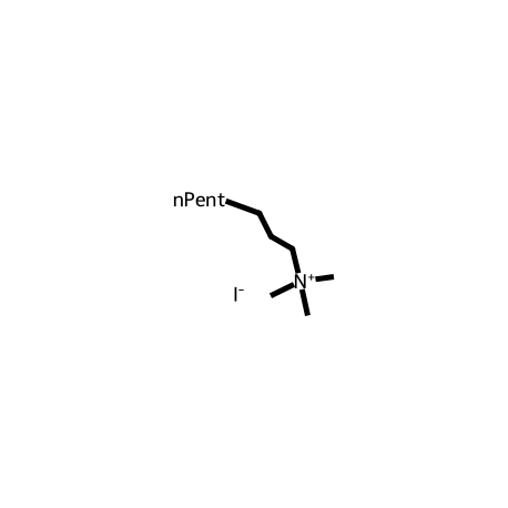 CCCCCCCC[N+](C)(C)C.[I-]